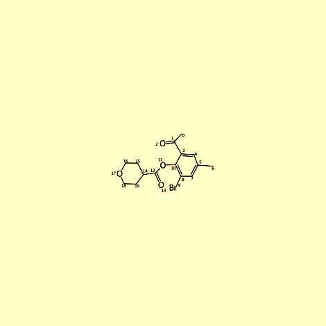 CC(=O)c1cc(C)cc(Br)c1OC(=O)C1CCOCC1